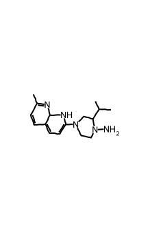 CC1=NC2NC(N3CCN(N)C(C(C)C)C3)=CC=C2C=C1